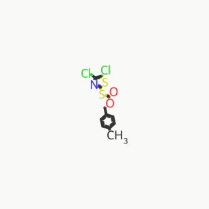 Cc1ccc(COC(=O)Sc2nc(Cl)c(Cl)s2)cc1